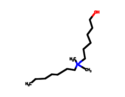 CCCCCCC[N+](C)(C)CCCCCCO